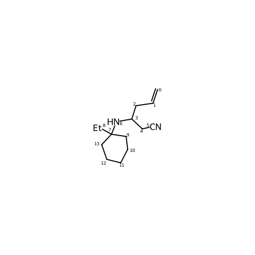 C=CCC(CC#N)NC1(CC)CCCCC1